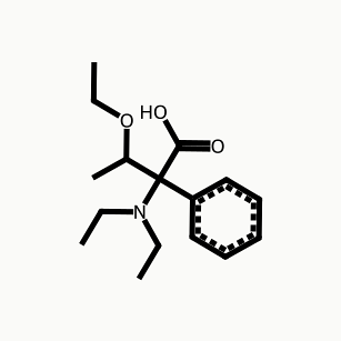 CCOC(C)C(C(=O)O)(c1ccccc1)N(CC)CC